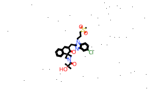 CC(C)(O)C(=O)N1CC2(C1)C(=O)C(Cc1nc3cc(Cl)ccc3n1CCCS(C)(=O)=O)=Cc1ccccc12